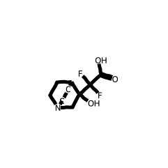 O=C(O)C(F)(F)C1(O)CN2CCC1CC2